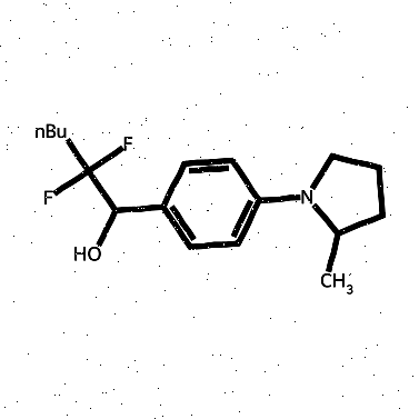 CCCCC(F)(F)C(O)c1ccc(N2CCCC2C)cc1